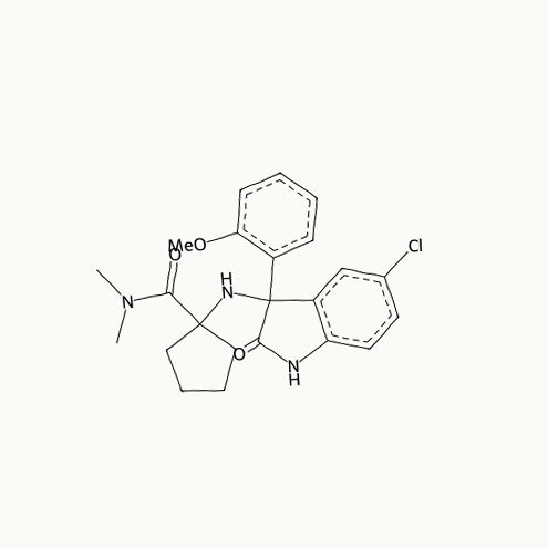 COc1ccccc1C1(NC2(C(=O)N(C)C)CCCC2)C(=O)Nc2ccc(Cl)cc21